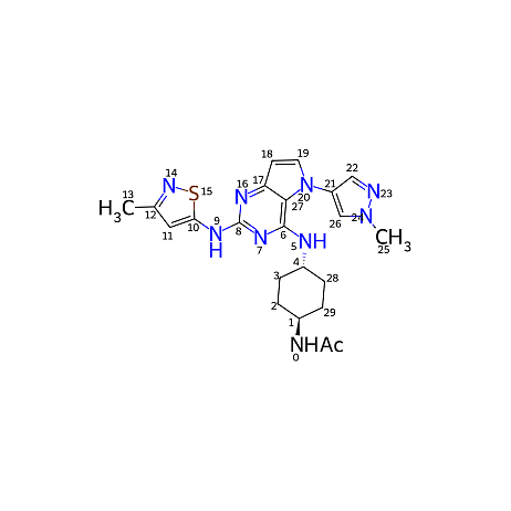 CC(=O)N[C@H]1CC[C@H](Nc2nc(Nc3cc(C)ns3)nc3ccn(-c4cnn(C)c4)c23)CC1